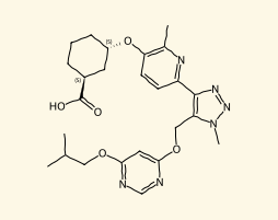 Cc1nc(-c2nnn(C)c2COc2cc(OCC(C)C)ncn2)ccc1O[C@H]1CCC[C@H](C(=O)O)C1